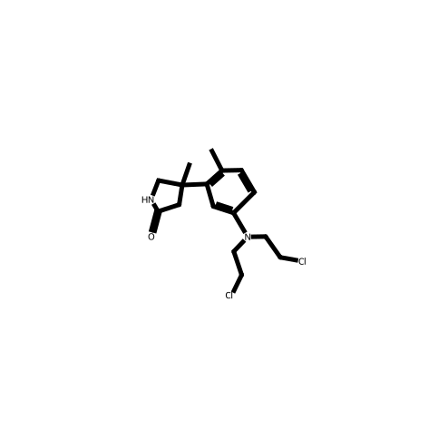 Cc1ccc(N(CCCl)CCCl)cc1C1(C)CNC(=O)C1